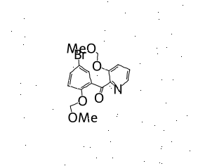 COCOc1ccc(Br)cc1C(=O)c1ncccc1OCOC